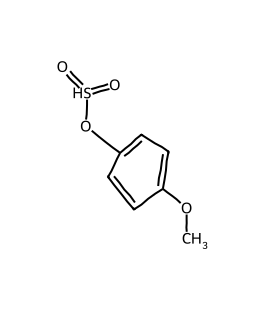 COc1ccc(O[SH](=O)=O)cc1